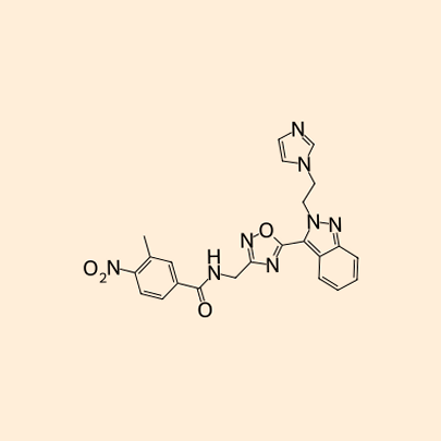 Cc1cc(C(=O)NCc2noc(-c3c4ccccc4nn3CCn3ccnc3)n2)ccc1[N+](=O)[O-]